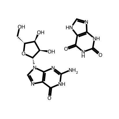 Nc1nc2c(ncn2[C@@H]2O[C@H](CO)[C@@H](O)[C@H]2O)c(=O)[nH]1.O=c1[nH]c(=O)c2[nH]cnc2[nH]1